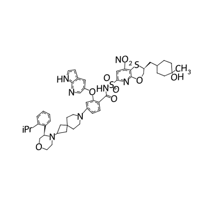 CC(C)c1ccccc1[C@@H]1COCCN1C1CC2(CCN(c3ccc(C(=O)NS(=O)(=O)c4cc([N+](=O)[O-])c5c(n4)OC[C@H](CC4CCC(C)(O)CC4)S5)c(Oc4cnc5[nH]ccc5c4)c3)CC2)C1